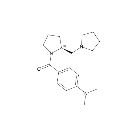 CN(C)c1ccc(C(=O)N2CCC[C@H]2CN2CCCC2)cc1